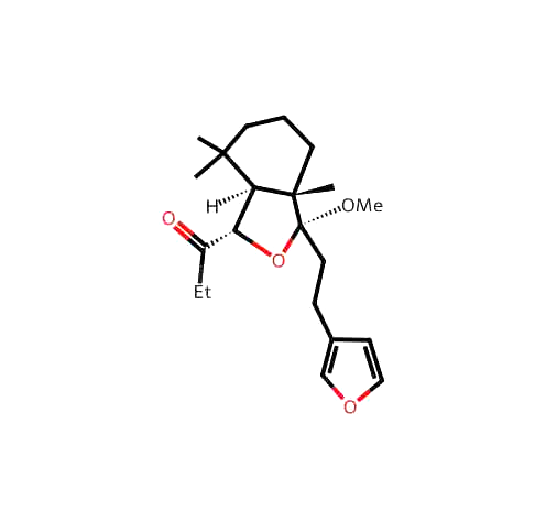 CCC(=O)[C@H]1O[C@@](CCc2ccoc2)(OC)[C@@]2(C)CCCC(C)(C)[C@H]12